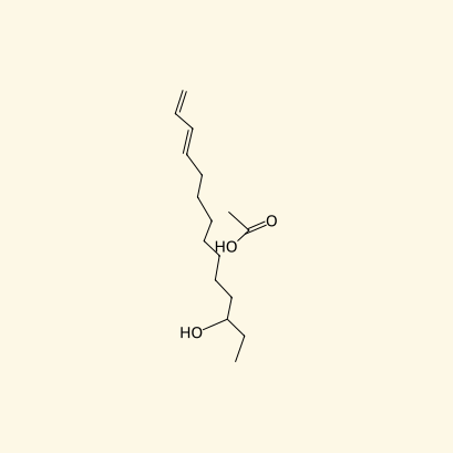 C=C/C=C/CCCCCCCC(O)CC.CC(=O)O